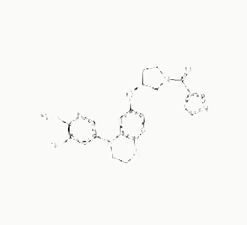 COc1ncc(N2CCOc3ccc(O[C@H]4CCN(C(=O)c5cnco5)C4)cc32)cc1C#N